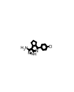 Nc1n[nH]c2nc(-c3ccc(Cl)cc3)c3c(c12)CCC3